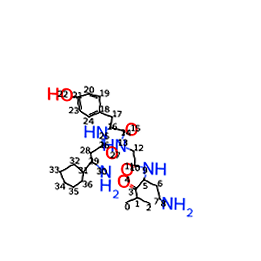 CC(C)C(=O)C(CCN)NC(=O)CNC(=O)C(Cc1ccc(O)cc1)NC(=O)CC(N)C1CCCCC1